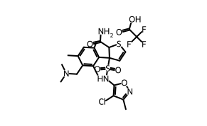 Cc1cc(C)c(C2(S(=O)(=O)Nc3onc(C)c3Cl)C=CSC2C(N)=O)c(C)c1CN(C)C.O=C(O)C(F)(F)F